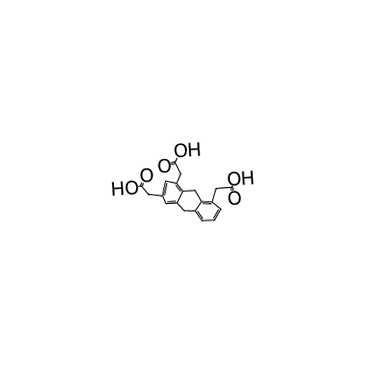 O=C(O)Cc1cc(CC(=O)O)c2c(c1)Cc1cccc(CC(=O)O)c1C2